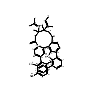 C=C1CC(C)(N=C(C)C)C(C)(/C(C)=C/C)CCc2ccc3c(oc4c(-c5ccc(C#N)cc5)cccc43)c2-c2cc(-c3c(C(C)C)cccc3C(C)C)cc[n+]21